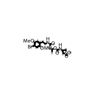 COc1cc(CCNC(=O)OC(C)OC(=O)NC2CS(=O)(=O)C2)c(OC)cc1Br